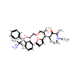 CC(C(=O)[C@@H](C)N(C)C(=O)O)[C@@H](c1ccco1)[C@H](C)COCCO[Si](c1ccccc1)(c1ccccc1)C(C)(C)N